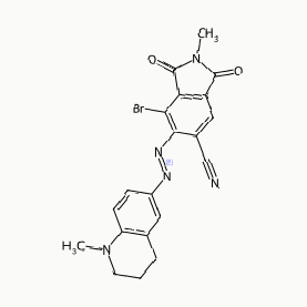 CN1C(=O)c2cc(C#N)c(/N=N/c3ccc4c(c3)CCCN4C)c(Br)c2C1=O